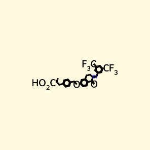 CC(Cc1ccc(COc2ccc3c(c2)CC/C(=C\c2cc(C(F)(F)F)cc(C(F)(F)F)c2)C3=O)cc1)C(=O)O